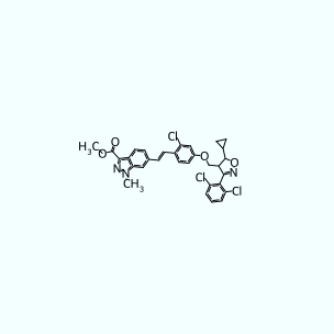 COC(=O)c1nn(C)c2cc(/C=C/c3ccc(OCC4C(c5c(Cl)cccc5Cl)=NOC4C4CC4)cc3Cl)ccc12